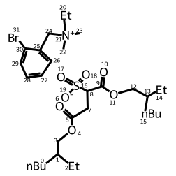 CCCCC(CC)COC(=O)CC(C(=O)OCC(CC)CCCC)S(=O)(=O)[O-].CC[N+](C)(C)Cc1ccccc1Br